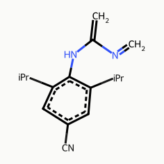 C=NC(=C)Nc1c(C(C)C)cc(C#N)cc1C(C)C